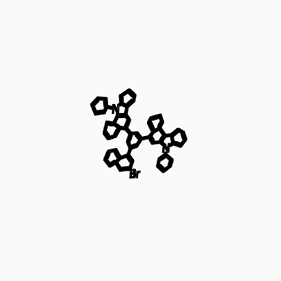 Brc1cc(-c2cc(-c3cc4c(c5ccccc35)c3ccccc3n4-c3ccccc3)cc(-c3cc4c5ccccc5n(-c5ccccc5)c4c4ccccc34)c2)c2ccccc2c1